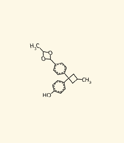 CC1CC(c2ccc(O)cc2)(c2ccc(C3OC(C)O3)cc2)C1